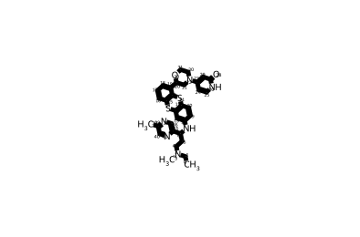 CCN(C)CCC(Nc1ccc2c(c1)Sc1cccc(C3CN(c4cc[nH]c(=O)c4)CCO3)c1S2)c1cnc(C)cn1